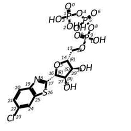 O=P(O)(O)OP(=O)(O)OP(=O)(O)OC[C@H]1O[C@@H](c2nc3ccc(Cl)cc3s2)[C@H](O)[C@@H]1O